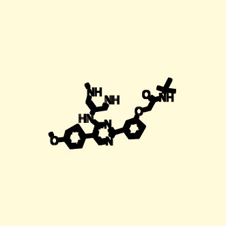 CN/C=C(\C=N)Nc1nc(-c2cccc(OCC(=O)NC(C)(C)C)c2)ncc1-c1ccc(OC)cc1